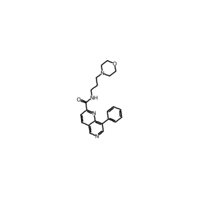 O=C(NCCCN1CCOCC1)c1ccc2cncc(-c3ccccc3)c2n1